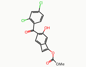 COC(=O)OC1=Cc2cc(C(=O)c3ccc(Cl)cc3Cl)c(O)cc21